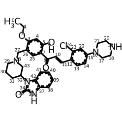 CCOc1cc(O)c(C(=O)/C=C/c2ccc(N3CCNCC3)cc2Cl)cc1CN1CCCC(n2c(=O)[nH]c3ccccc32)C1